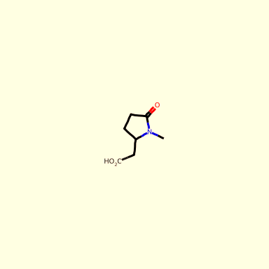 CN1C(=O)CCC1CC(=O)O